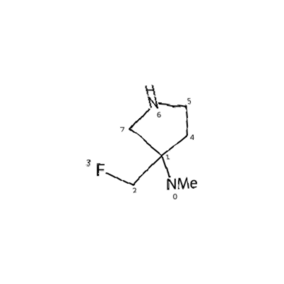 CNC1(CF)CCNC1